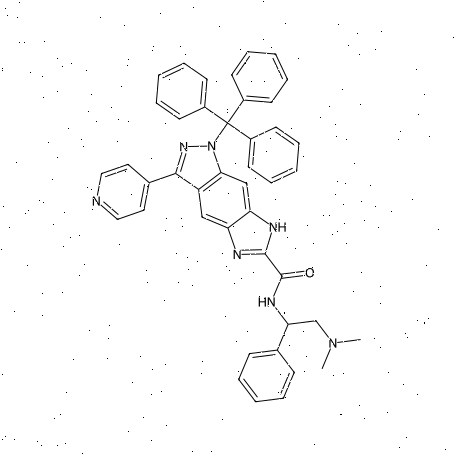 CN(C)CC(NC(=O)c1nc2cc3c(-c4ccncc4)nn(C(c4ccccc4)(c4ccccc4)c4ccccc4)c3cc2[nH]1)c1ccccc1